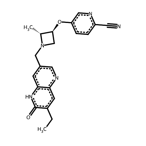 CCc1cc2ncc(CN3C[C@H](Oc4ccc(C#N)nc4)[C@H]3C)cc2[nH]c1=O